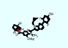 COc1cc(C(=O)N2C[C@H]3CC[C@@H]2[C@@H]3N)cc2nc(-c3cc4ccc(-c5c(F)cc(O)cc5F)cc4n3CC3CC3)n(C)c12